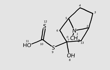 CN1C2CCC1CC(O)(SC(O)=S)C2